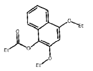 CCOc1cc(OCC)c2ccccc2c1OC(=O)CC